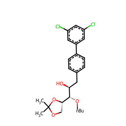 CCCCO[C@H]([C@@H]1COC(C)(C)O1)[C@@H](O)Cc1ccc(-c2cc(Cl)cc(Cl)c2)cc1